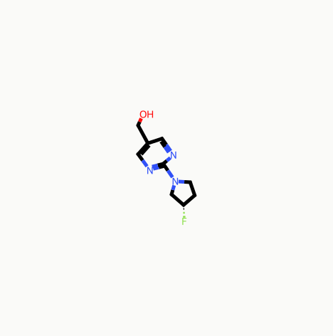 OCc1cnc(N2CC[C@H](F)C2)nc1